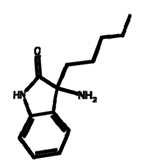 CCCCCC1(N)C(=O)Nc2ccccc21